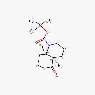 CC(C)(C)OC(=O)N1CCC[C@H]2C(=O)CCC[C@H]21